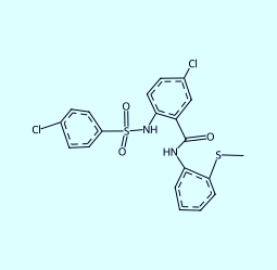 CSc1ccccc1NC(=O)c1cc(Cl)ccc1NS(=O)(=O)c1ccc(Cl)cc1